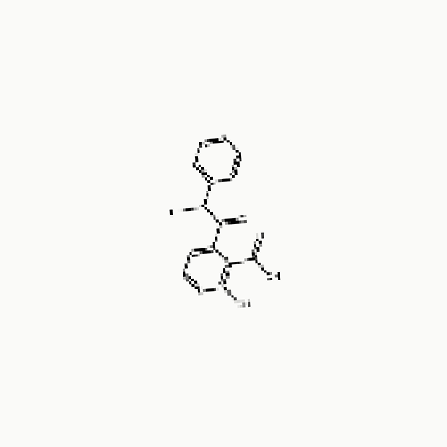 O=C(O)c1c(O)cccc1C(=O)C(O)c1ccccc1